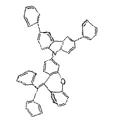 c1ccc(C(=C2c3ccccc3Oc3cc(-n4c5ccc(-c6ccccc6)cc5c5cc(-c6ccccc6)ccc54)ccc32)c2ccccc2)cc1